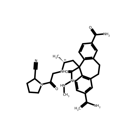 C=C(N)c1ccc2c(c1)CCc1cc(C(N)=O)ccc1C2(C[C@@H](C)NCC(=O)N1CCCC1C#N)C(=O)NNC